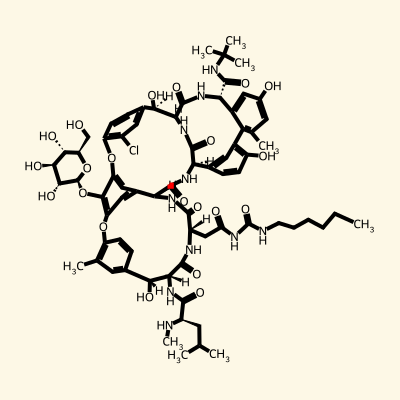 CCCCCCNC(=O)NC(=O)C[C@@H]1NC(=O)[C@H](NC(=O)[C@@H](CC(C)C)NC)[C@H](O)c2ccc(c(C)c2)Oc2cc3cc(c2O[C@@H]2O[C@H](CO)[C@@H](O)[C@H](O)[C@H]2O)Oc2ccc(cc2Cl)[C@@H](O)[C@@H]2NC(=O)[C@H](NC(=O)[C@@H]3NC1=O)c1ccc(O)c(c1)-c1c(C)cc(O)cc1[C@@H](C(=O)NC(C)(C)C)NC2=O